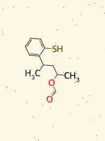 CC(CC(C)c1ccccc1S)OC=O